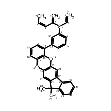 C=CP(C(=C)/C=C\C)c1cccc(-c2cccc3c2Oc2cc4c(cc2O3)C(C)(C)c2ccccc2-4)c1